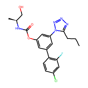 CCCc1nnnn1-c1cc(OC(=O)N[C@@H](C)CO)cc(-c2ccc(Cl)cc2F)c1